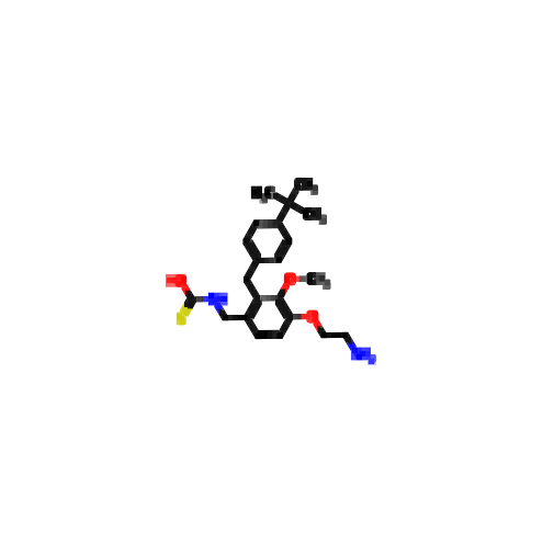 COc1c(OCCN)ccc(CNC(O)=S)c1Cc1ccc(C(C)(C)C)cc1